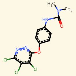 CN(C)C(=O)Nc1ccc(Oc2nnc(Cl)c(Cl)c2Cl)cc1